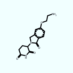 NCCOc1ccc2c(c1)CN(C1CCC(=O)NC1=O)C2=O